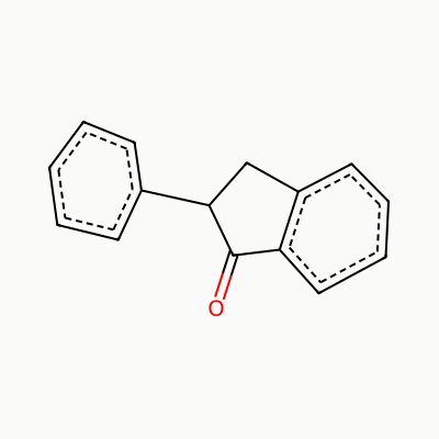 O=C1c2ccccc2CC1c1ccccc1